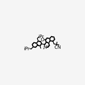 Cc1c2c(c(CC(C)C)c3ccc(CC(C)C)cc13)Oc1cc3cccc(CC(C)(C)C#N)c3c3cc[n+](C)c-2c13